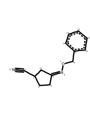 N#CC1CCC(=NOCc2ccccc2)C1